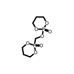 O=P1(COP2(=O)OCCCO2)OCCCO1